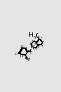 Cc1cccc2c1CCN(Cc1ccccc1C#N)C2